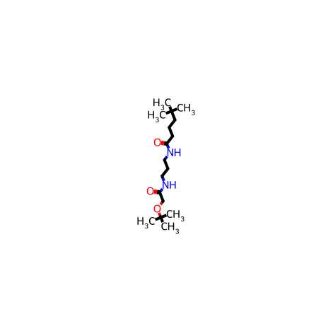 CC(C)(C)CCCC(=O)NCCCNC(=O)COC(C)(C)C